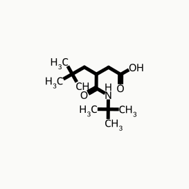 CC(C)(C)CC(CC(=O)O)C(=O)NC(C)(C)C